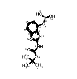 CC(C)(C)OC(=O)Nc1nc2c(OB(O)O)cccc2s1